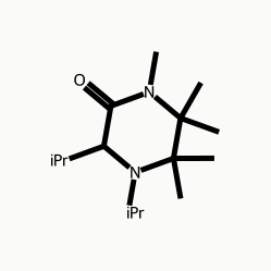 CC(C)C1C(=O)N(C)C(C)(C)C(C)(C)N1C(C)C